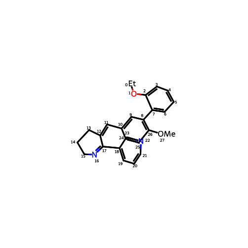 CCOc1ccccc1-c1cc(/C=C2/CCCN=C2c2cccnc2)ccc1OC